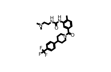 Cc1ccc(C(=O)N2CCC(c3ccc(C(F)(F)F)cc3)CC2)cc1NC(=O)NCCN(C)C